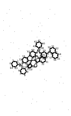 c1ccc(N(c2ccccc2)c2ccc3c(c2)C2(c4ccccc4Oc4c2oc2ccccc42)c2cc(N(c4ccccc4)c4cccc(-c5cccc6ccccc56)c4)ccc2-3)cc1